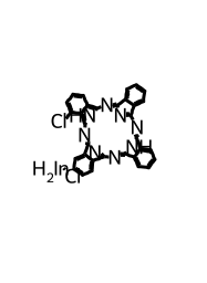 Clc1cccc2c3nc4nc(nc5[nH]c(nc6nc(nc([nH]3)c12)-c1ccccc1-6)c1ccccc51)-c1ccccc1-4.[Cl][InH2]